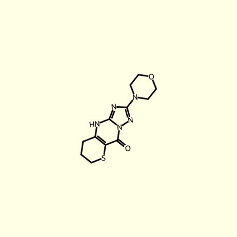 O=c1c2c([nH]c3nc(N4CCOCC4)nn13)CCCS2